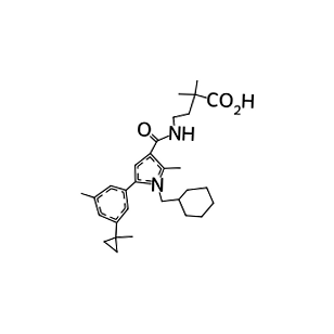 Cc1cc(-c2cc(C(=O)NCCC(C)(C)C(=O)O)c(C)n2CC2CCCCC2)cc(C2(C)CC2)c1